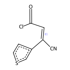 N#C/C(=C/C(=O)Cl)c1ccsc1